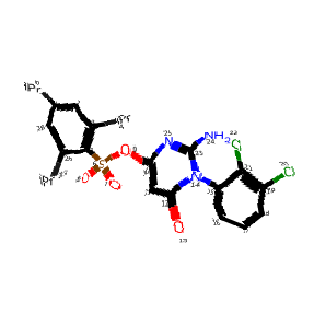 CC(C)c1cc(C(C)C)c(S(=O)(=O)Oc2cc(=O)n(-c3cccc(Cl)c3Cl)c(N)n2)c(C(C)C)c1